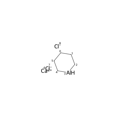 C1C[CH2][AlH][CH2]C1.[Ca+2].[Cl-].[Cl-]